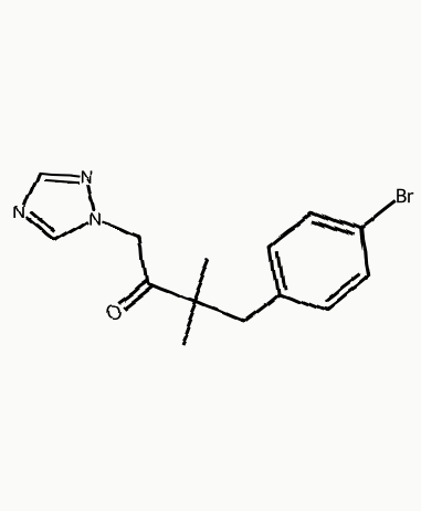 CC(C)(Cc1ccc(Br)cc1)C(=O)Cn1cncn1